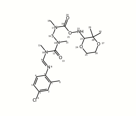 Cc1cc(Cl)ccc1N=CN(C)C(=O)N(C)SN(C)C(=O)ONC1OCCOC1(C)C